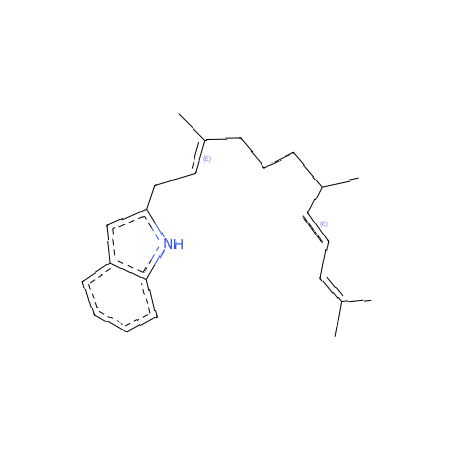 CC(C)=C/C=C/C(C)CCC/C(C)=C/Cc1cc2ccccc2[nH]1